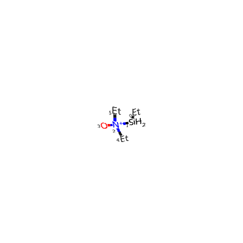 CC[SiH2][N+]([O-])(CC)CC